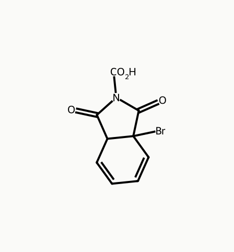 O=C(O)N1C(=O)C2C=CC=CC2(Br)C1=O